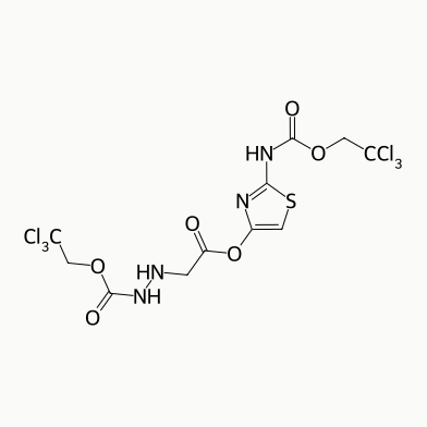 O=C(CNNC(=O)OCC(Cl)(Cl)Cl)Oc1csc(NC(=O)OCC(Cl)(Cl)Cl)n1